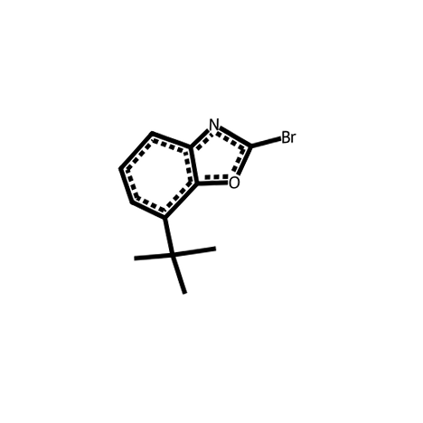 CC(C)(C)c1cccc2nc(Br)oc12